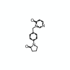 O=C1CCCN1c1ccc(Cn2cnccc2=O)cc1